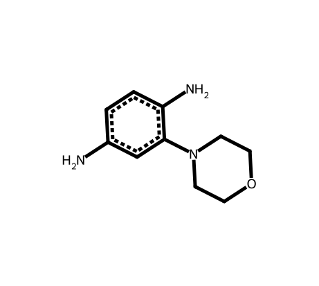 Nc1ccc(N)c(N2CCOCC2)c1